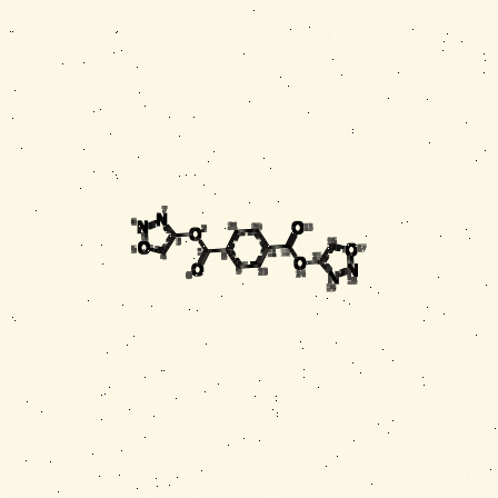 O=C(Oc1conn1)c1ccc(C(=O)Oc2conn2)cc1